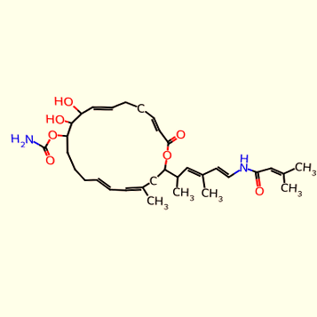 CC(C)=CC(=O)N/C=C/C(C)=C/C(C)C1C/C(C)=C/C=C/CCCC(OC(N)=O)C(O)C(O)/C=C/CC/C=C/C(=O)O1